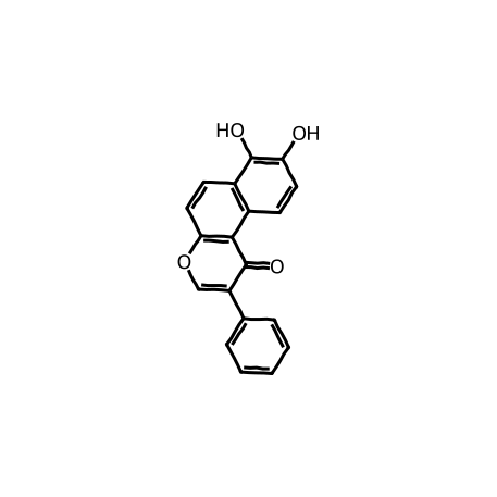 O=c1c(-c2ccccc2)coc2ccc3c(O)c(O)ccc3c12